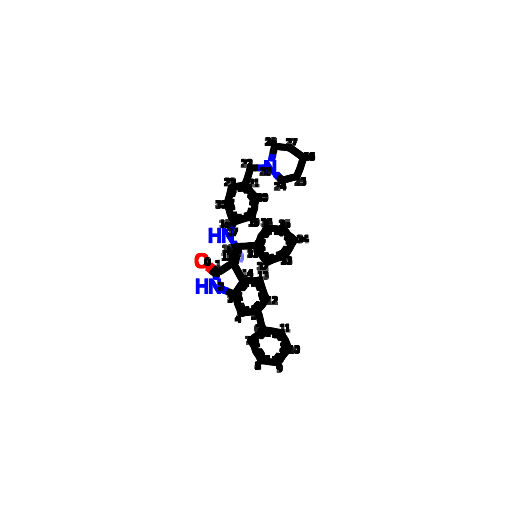 O=C1Nc2cc(-c3ccccc3)ccc2/C1=C(/Nc1ccc(CN2CCCCC2)cc1)c1ccccc1